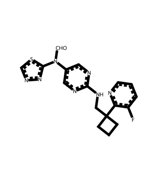 O=CN(c1cnc(NCC2(c3ncccc3F)CCC2)nc1)c1nncs1